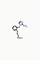 CCCCCCCCCCCCc1ccccc1Cn1ccnc1C